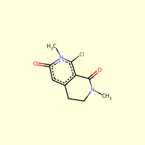 CN1CCc2cc(=O)n(C)c(Cl)c2C1=O